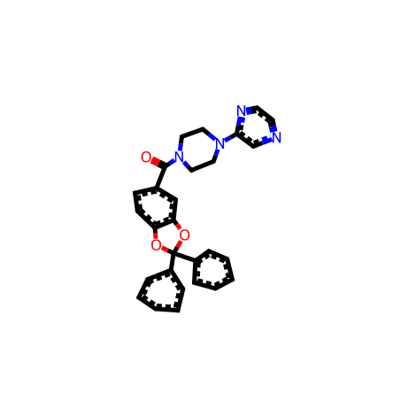 O=C(c1ccc2c(c1)OC(c1ccccc1)(c1ccccc1)O2)N1CCN(c2cnccn2)CC1